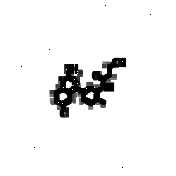 Cc1ccc(-c2nc(N)nc3ccc(Cl)cc23)cc1NC(=O)CCC#N